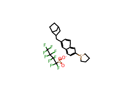 O=S(=O)([O-])C(F)(F)C(F)(F)C(F)(F)C(F)(F)F.c1cc2cc([S+]3CCCC3)ccc2cc1CC1CC2CCC1C2